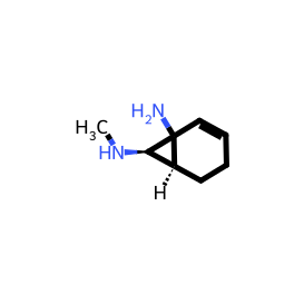 CN[C@@H]1[C@@H]2CCC=CC12N